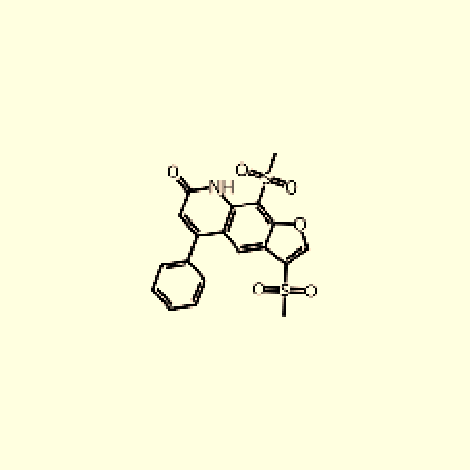 CS(=O)(=O)c1coc2c(S(C)(=O)=O)c3[nH]c(=O)cc(-c4ccccc4)c3cc12